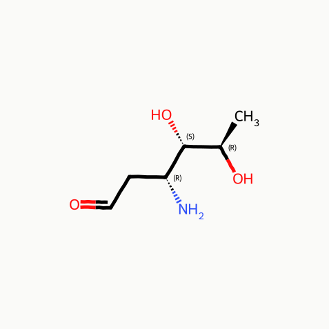 C[C@@H](O)[C@@H](O)[C@H](N)CC=O